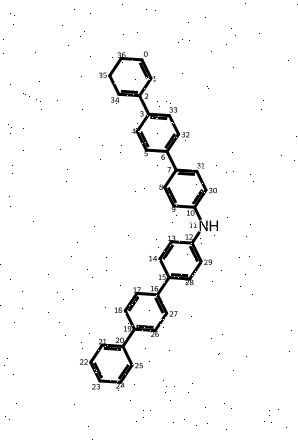 C1=CC(c2ccc(-c3ccc(Nc4ccc(-c5ccc(-c6ccccc6)cc5)cc4)cc3)cc2)=CCC1